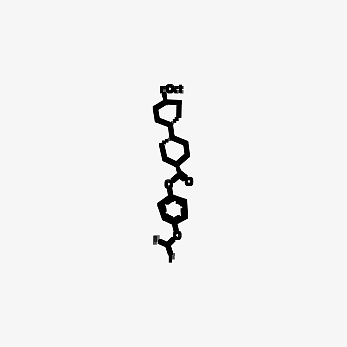 CCCCCCCC[C@H]1CC[C@H]([C@H]2CC[C@H](C(=O)Oc3ccc(OC(F)F)cc3)CC2)CC1